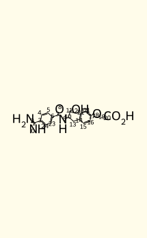 N=C(N)c1ccc(C(=O)N[C@@H](CO)Cc2ccc(OCC(=O)O)cc2)cc1